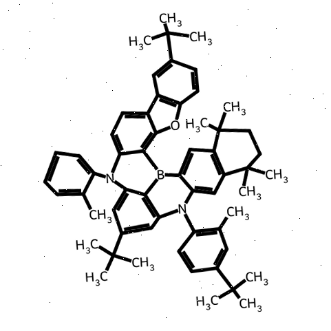 Cc1cc(C(C)(C)C)ccc1N1c2cc3c(cc2B2c4c1cc(C(C)(C)C)cc4N(c1ccccc1C)c1ccc4c(oc5ccc(C(C)(C)C)cc54)c12)C(C)(C)CCC3(C)C